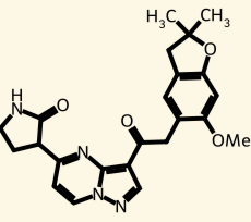 COc1cc2c(cc1CC(=O)c1cnn3ccc(C4CCNC4=O)nc13)CC(C)(C)O2